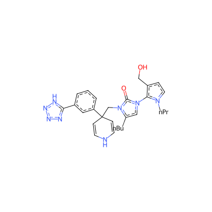 CCCCc1cn(-c2c(CO)ccn2CCC)c(=O)n1CC1(c2cccc(-c3nnn[nH]3)c2)C=CNC=C1